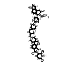 C[C@@H]1Cc2c(ccc3[nH]ncc23)[C@@H](c2cnc(N3CCC4(CCC(CN5CCC6(CC5)COc5c6ccc6c5CN([C@H]5CCC(=O)NC5=O)C6=O)CO4)CC3)nc2)N1CC(F)(F)F